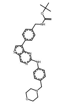 C=C(NCc1ccc(-c2csc3cnc(Nc4ccc(CN5CCOCC5)cc4)nc23)cc1)OC(C)(C)C